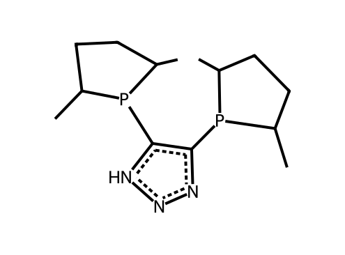 CC1CCC(C)P1c1nn[nH]c1P1C(C)CCC1C